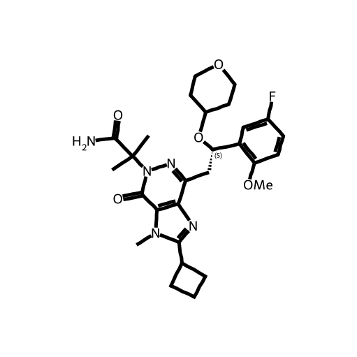 COc1ccc(F)cc1[C@H](Cc1nn(C(C)(C)C(N)=O)c(=O)c2c1nc(C1CCC1)n2C)OC1CCOCC1